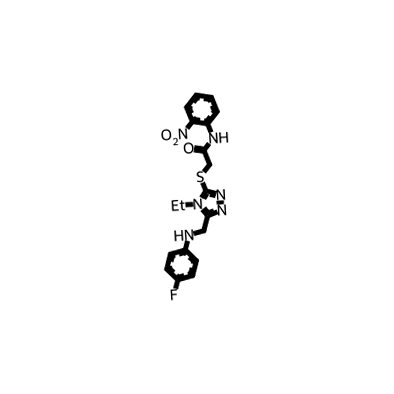 CCn1c(CNc2ccc(F)cc2)nnc1SCC(=O)Nc1ccccc1[N+](=O)[O-]